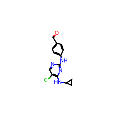 O=Cc1ccc(Nc2ncc(Cl)c(NC3CC3)n2)cc1